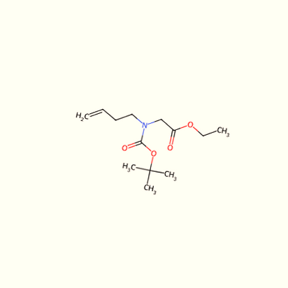 C=CCCN(CC(=O)OCC)C(=O)OC(C)(C)C